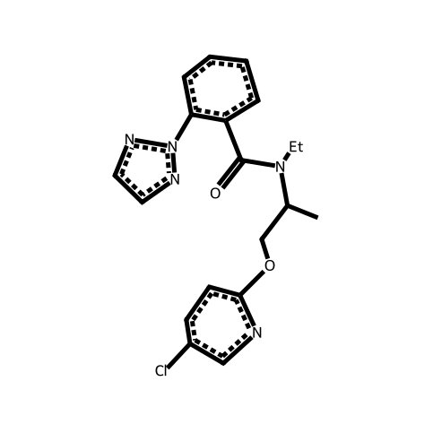 CCN(C(=O)c1ccccc1-n1nccn1)C(C)COc1ccc(Cl)cn1